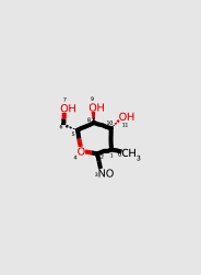 CC1C(N=O)O[C@H](CO)[C@@H](O)[C@@H]1O